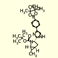 C[C@@H]1[C@@H]2C[C@@H](c3nc(-c4ccc(B5OC(C)(C)C(C)(C)O5)cc4)c[nH]3)N(C(=O)OC(C)(C)C)[C@H]12